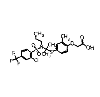 CCCN(C(C)(C)Sc1ccc(OCC(=O)O)c(C)c1)S(=O)(=O)c1ccc(C(F)(F)F)cc1Cl